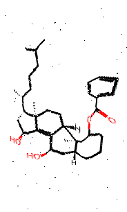 CC(C)CCC[C@@H](C)[C@H]1C[C@H](O)C2=C3[C@H](O)C[C@H]4CCCC(OC(=O)c5ccccc5)[C@]4(C)[C@H]3CC[C@@]21C